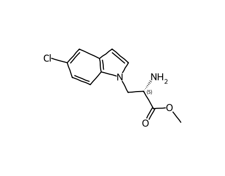 COC(=O)[C@@H](N)Cn1ccc2cc(Cl)ccc21